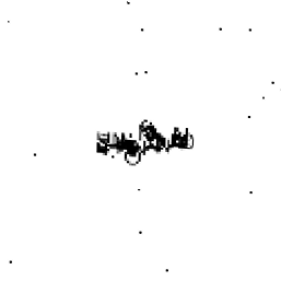 O=C(NCCCN(Cc1cnoc1)Cc1cnoc1)c1cc(-c2cccs2)[nH]n1